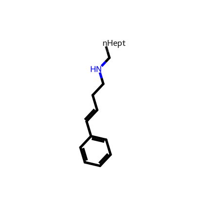 CCCCCCCCNCCC=Cc1ccccc1